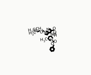 C[C@H]1C[C@@H](Nc2c(C(=O)O)cnc3c2ccn3COCC[Si](C)(C)C)CN(C(=O)OCc2ccccc2)C1